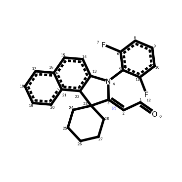 O=C/C=C1\N(c2c(F)cccc2F)c2ccc3ccccc3c2C12CCCCC2